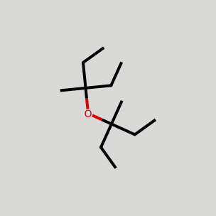 CCC(C)(CC)OC(C)(CC)CC